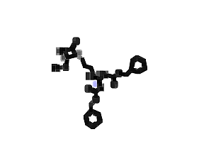 CCS[C@H]1NC(=O)[C@@H]1CCCN/C(=N\C(=O)OCc1ccccc1)NC(=O)OCc1ccccc1